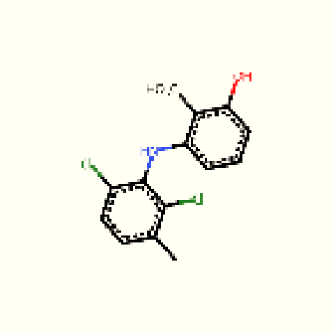 Cc1ccc(Cl)c(Nc2cccc(O)c2C(=O)O)c1Cl